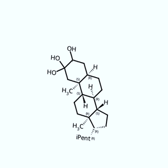 CCC[C@@H](C)[C@H]1CC[C@H]2[C@@H]3CC[C@@H]4C[C](O)C(O)(O)C[C@]4(C)[C@H]3CC[C@]12C